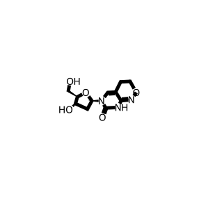 O=C1NC2=NOCCC2=CN1[C@H]1C[C@@H](O)[C@@H](CO)O1